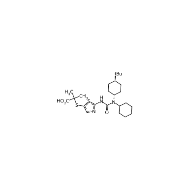 CC(C)(Sc1cnc(NC(=O)N(C2CCCCC2)[C@H]2CC[C@H](C(C)(C)C)CC2)s1)C(=O)O